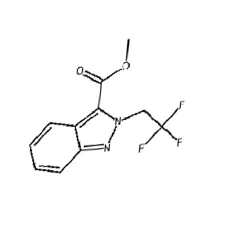 COC(=O)c1c2ccccc2nn1CC(F)(F)F